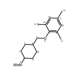 CNC1CCC(COc2c(I)cc(I)cc2I)CC1